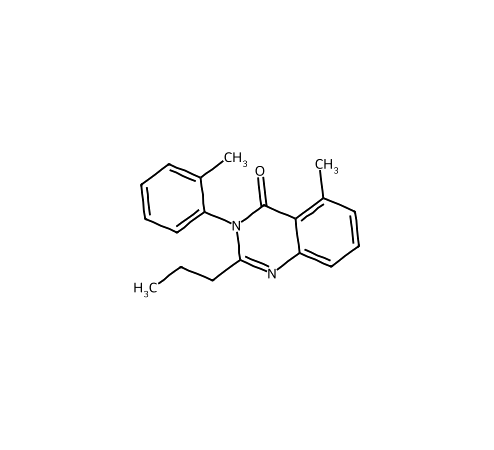 CCCc1nc2cccc(C)c2c(=O)n1-c1ccccc1C